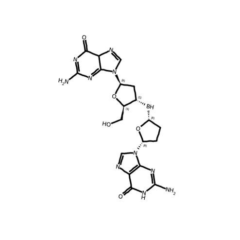 NC1=NC(=O)C2N=CN([C@H]3C[C@H](B[C@@H]4CC[C@H](n5cnc6c(=O)[nH]c(N)nc65)O4)[C@@H](CO)O3)C2=N1